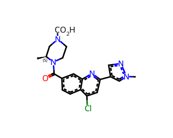 C[C@H]1CN(C(=O)O)CCN1C(=O)c1ccc2c(Cl)cc(-c3cnn(C)c3)nc2c1